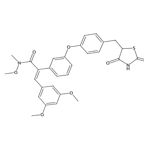 COc1cc(/C=C(/C(=O)N(C)OC)c2cccc(Oc3ccc(CC4SC(=O)NC4=O)cc3)c2)cc(OC)c1